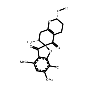 CCO[C@@H]1CCC2=C(C[C@@H](C)[C@]3(Oc4c(Cl)c(OC)cc(OC)c4C3=O)C2=O)O1